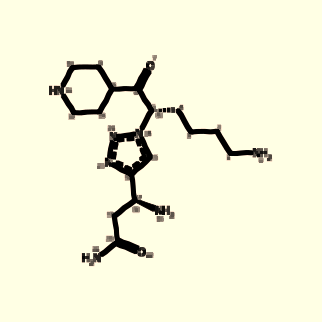 NCCCC[C@@H](C(=O)C1CCNCC1)n1cc([C@@H](N)CC(N)=O)nn1